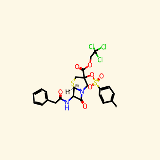 Cc1ccc(S(=O)(=O)OC2(C(=O)OCC(Cl)(Cl)Cl)CS[C@@H]3C(NC(=O)Cc4ccccc4)C(=O)N3C2)cc1